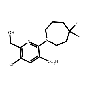 O=C(O)c1cc(Cl)c(CO)nc1N1CCCC(F)(F)CC1